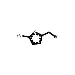 CC(C)(C)c1ccc(CBr)s1